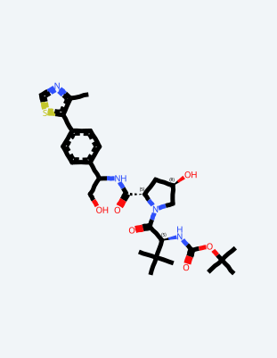 Cc1ncsc1-c1ccc(C(CO)NC(=O)[C@@H]2C[C@@H](O)CN2C(=O)[C@@H](NC(=O)OC(C)(C)C)C(C)(C)C)cc1